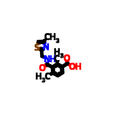 Cc1csc(CNC(=O)c2c(C)ccc(C(=O)O)c2C)n1